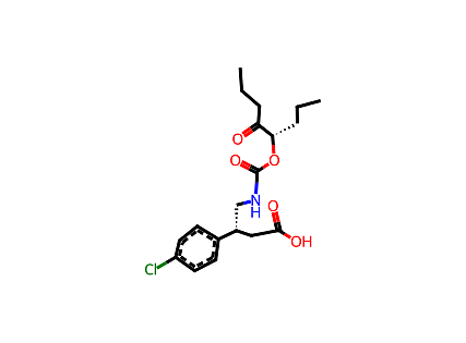 CCCC(=O)[C@H](CCC)OC(=O)NC[C@H](CC(=O)O)c1ccc(Cl)cc1